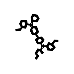 C=C/C=C\C(=C)N(c1ccc(-c2ccc(N(c3ccccc3)c3cccc(C=C)c3)cc2)cc1)c1cccc(C=C)c1